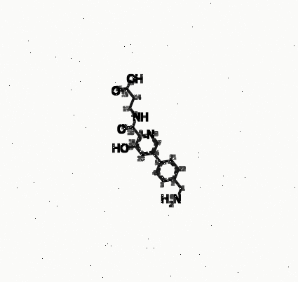 NCc1ccc(-c2cnc(C(=O)NCCC(=O)O)c(O)c2)cc1